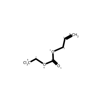 C=CCOC(=O)OCC(Cl)(Cl)Cl